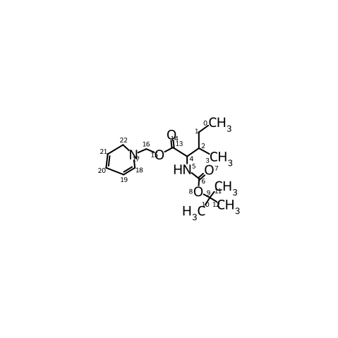 CCC(C)C(NC(=O)OC(C)(C)C)C(=O)OCN1C=CC=CC1